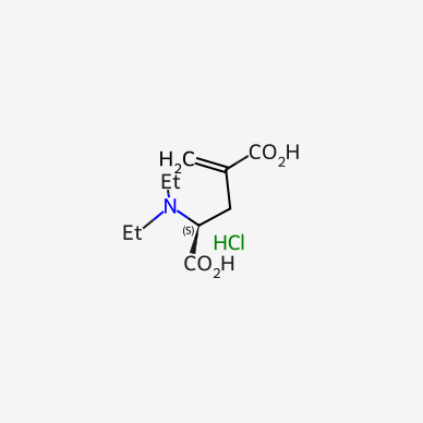 C=C(C[C@@H](C(=O)O)N(CC)CC)C(=O)O.Cl